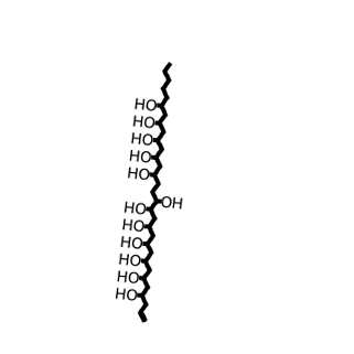 C=CCC(O)CC(O)CC(O)CC(O)CC(O)CC(O)C(O)CCC(O)CC(O)CC(O)CC(O)CC(O)CCCCC